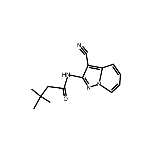 CC(C)(C)CC(=O)Nc1nn2ccccc2c1C#N